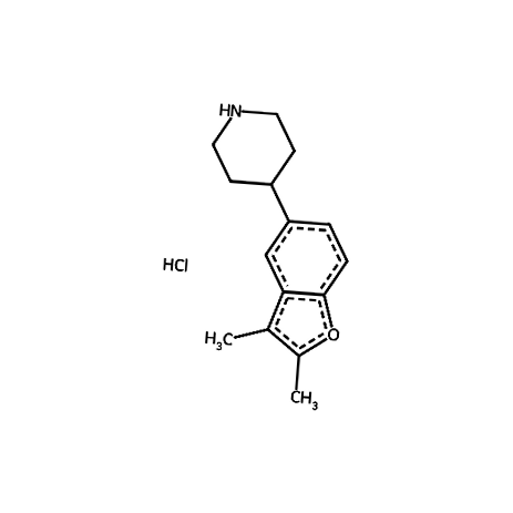 Cc1oc2ccc(C3CCNCC3)cc2c1C.Cl